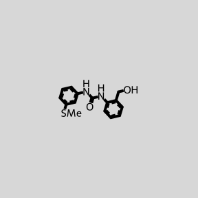 CSc1cccc(NC(=O)Nc2ccccc2CO)c1